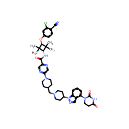 CC1(C)[C@H](NC(=O)c2cnc(N3CCC(CN4CCC(n5ncc6c(N7CCC(=O)NC7=O)cccc65)CC4)CC3)cn2)C(C)(C)[C@H]1Oc1ccc(C#N)c(Cl)c1